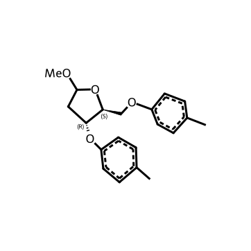 COC1C[C@@H](Oc2ccc(C)cc2)[C@H](COc2ccc(C)cc2)O1